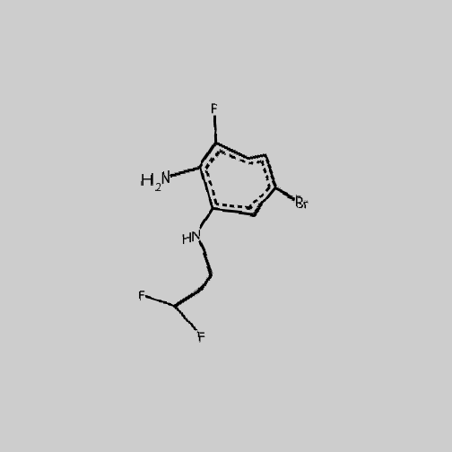 Nc1c(F)cc(Br)cc1NCC(F)F